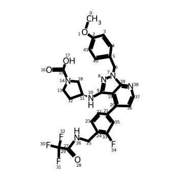 COc1ccc(Cn2nc(N[C@@H]3CCN(C(=O)O)C3)c3c(-c4ccc(CNC(=O)C(F)(F)F)c(F)c4)ccnc32)cc1